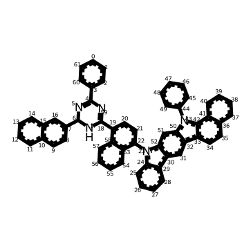 c1ccc(C2=NC(c3ccc4ccccc4c3)NC(c3ccc(-n4c5ccccc5c5cc6c7ccc8ccccc8c7n(-c7ccccc7)c6cc54)c4ccccc34)=N2)cc1